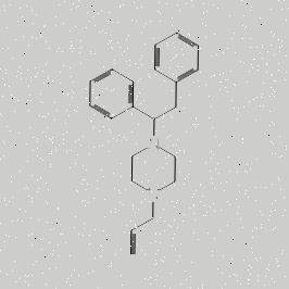 C=CCN1CCN(C(Cc2ccccc2)c2ccccc2)CC1